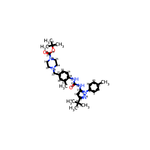 Cc1ccc(-n2nc(C(C)(C)C)cc2NC(=O)Nc2ccc(CN3CCN(C(=O)OC(C)(C)C)CC3)cc2C)cc1